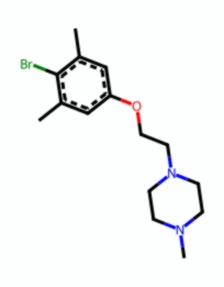 Cc1cc(OCCN2CCN(C)CC2)cc(C)c1Br